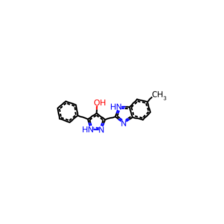 Cc1ccc2nc(-c3n[nH]c(-c4ccccc4)c3O)[nH]c2c1